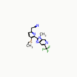 CCSc1ccc(CC#N)nc1-c1nc2cc(C(F)(F)F)ncc2n1C